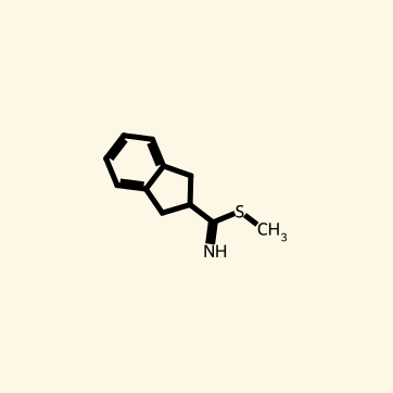 CSC(=N)C1Cc2ccccc2C1